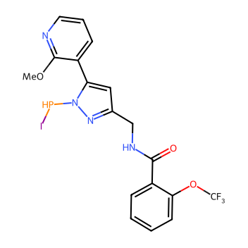 COc1ncccc1-c1cc(CNC(=O)c2ccccc2OC(F)(F)F)nn1PI